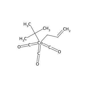 C=C[CH2][Co](=[C]=O)(=[C]=O)(=[C]=O)[C](C)(C)C